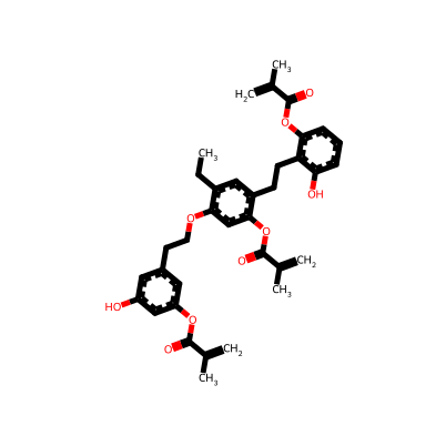 C=C(C)C(=O)Oc1cc(O)cc(CCOc2cc(OC(=O)C(=C)C)c(CCc3c(O)cccc3OC(=O)C(=C)C)cc2CC)c1